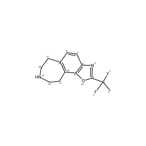 CC(F)(F)c1nc2ccc3c(c2o1)CCNCC3